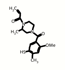 C=CC(=O)N1CCN(C(=O)c2cc(S)c(C)cc2OC)CC1C